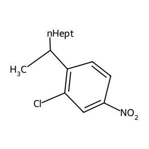 CCCCCCCC(C)c1ccc([N+](=O)[O-])cc1Cl